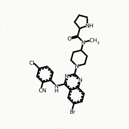 CN(C(=O)C1CCCN1)C1CCN(c2nc(Nc3ccc(Cl)cc3C#N)c3cc(Br)ccc3n2)CC1